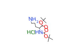 CC(C)(C)OC(=O)NC(CCCN)C(=O)OC(C)(C)C.Cl